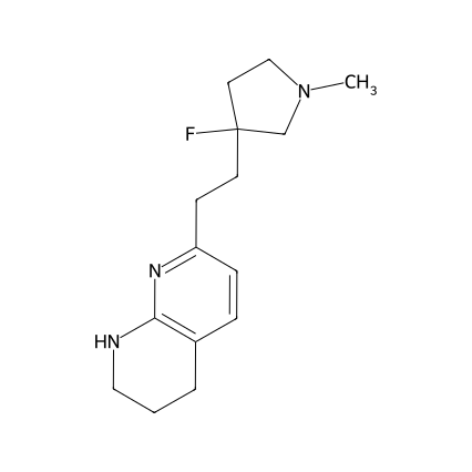 CN1CCC(F)(CCc2ccc3c(n2)NCCC3)C1